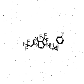 Fc1ccc([C@@H]2C[C@H]2CNc2ccn3c(CC(F)(F)F)cnc3c2C(F)(F)F)cc1